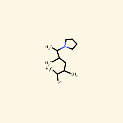 CC(C)C(C)C(C)CC(C)C(C)N1CCCC1